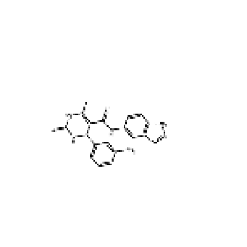 CC1=C(C(=O)Nc2ccc3[nH]ncc3c2)C(c2cccc(N)c2)NC(=O)N1